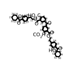 O=C(c1ccc(C(=O)O)c(C(=O)OCCc2ccc(C(=O)C3(O)CCCCC3)cc2)c1)c1ccc(C(=O)O)c(C(=O)OCCc2ccc(C(=O)C3(O)CCCCC3)cc2)c1